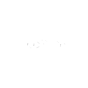 C=CC(=O)NCCCN(C)S(=O)(=O)c1ccc(NC(=O)C2CCOCC2)cc1